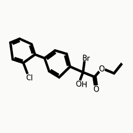 CCOC(=O)C(O)(Br)c1ccc(-c2ccccc2Cl)cc1